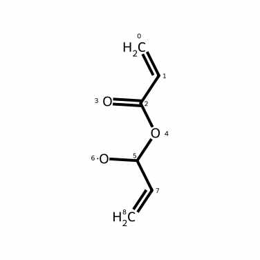 C=CC(=O)OC([O])C=C